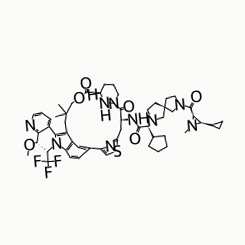 CO[C@@H](C)c1ncccc1-c1c2c3cc(ccc3n1CC(F)(F)F)-c1csc(n1)C[C@H](NC(=O)[C@H](C1CCCC1)N1CC[C@]3(CCN(C(=O)[C@H]4[C@@H](C5CC5)N4C)C3)C1)C(=O)N1CCC[C@H](N1)C(=O)OCC(C)(C)C2